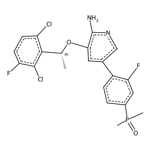 C[C@@H](Oc1cc(-c2ccc(P(C)(C)=O)cc2F)cnc1N)c1c(Cl)ccc(F)c1Cl